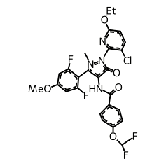 CCOc1ccc(Cl)c(-n2c(=O)c(NC(=O)c3ccc(OC(F)F)cc3)c(-c3c(F)cc(OC)cc3F)n2C)n1